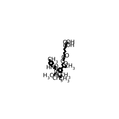 CCC(CC(=O)OCOC(=O)CCCCOP(=O)(O)O)c1ccc(N(CC(C)C)CC(C)C)c(NC(=O)Nc2ccc(C)cc2)c1